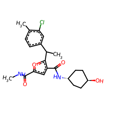 CNC(=O)c1cc(C(=O)N[C@H]2CC[C@H](O)CC2)c(C(C)c2ccc(C)c(Cl)c2)o1